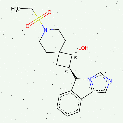 CCS(=O)(=O)N1CCC2(CC1)C[C@H](C1c3ccccc3-c3cncn31)[C@H]2O